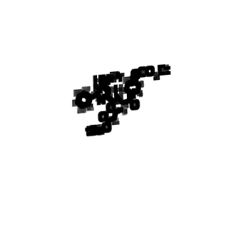 CCOC(=O)ON1CCN(C(=O)[C@H](CCCC(=O)OC(C)(C)C)NC(=O)c2cc(NC(C)C)nc(-c3ccccc3)n2)CC1